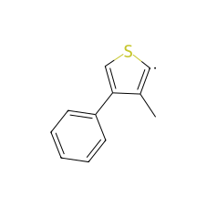 Cc1[c]scc1-c1ccccc1